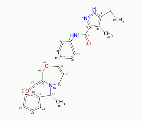 CCc1[nH]nc(C(=O)Nc2ccc(C3=CCN([C@H](C)c4ccccc4)C(=C=O)CO3)cc2)c1C